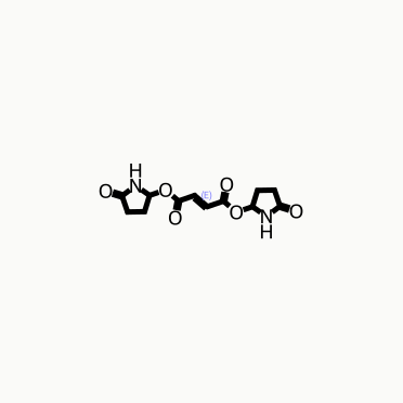 O=C1CCC(OC(=O)/C=C/C(=O)OC2CCC(=O)N2)N1